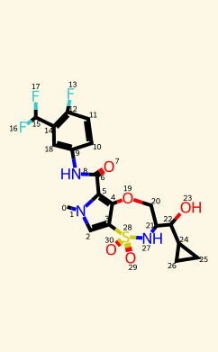 Cn1cc2c(c1C(=O)Nc1ccc(F)c(C(F)F)c1)OCC(C(O)C1CC1)NS2(=O)=O